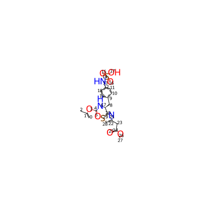 C=C(C)OC(=O)N[C@@H](Cc1ccc(NS(=O)(=O)O)cc1)c1nc(CC(=O)OC)cs1